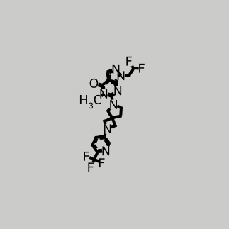 Cn1c(N2CCC3(CN(c4ccc(C(F)(F)F)nc4)C3)C2)nc2c(cnn2CC(F)F)c1=O